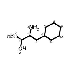 CCCC[C@H](O)[C@@H](N)CC1CCCCC1